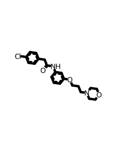 O=C(Cc1ccc(Cl)cc1)Nc1cccc(OCCCN2CCOCC2)c1